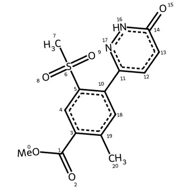 COC(=O)c1cc(S(C)(=O)=O)c(-c2ccc(=O)[nH]n2)cc1C